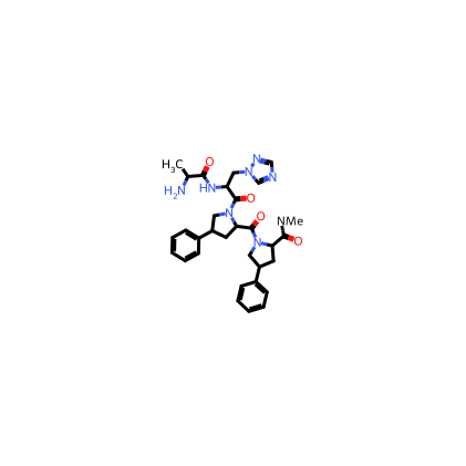 CNC(=O)C1CC(c2ccccc2)CN1C(=O)C1CC(c2ccccc2)CN1C(=O)C(Cn1cncn1)NC(=O)C(C)N